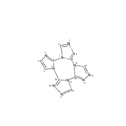 c1cn2c(n1)n1cnnc1n1cnnc1n1cnnc21